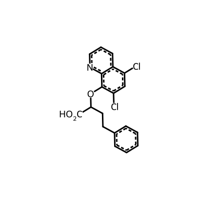 O=C(O)C(CCc1ccccc1)Oc1c(Cl)cc(Cl)c2cccnc12